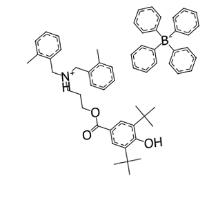 Cc1ccccc1C[NH+](CCCOC(=O)c1cc(C(C)(C)C)c(O)c(C(C)(C)C)c1)Cc1ccccc1C.c1ccc([B-](c2ccccc2)(c2ccccc2)c2ccccc2)cc1